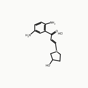 Cl.Nc1ccc(N)c(C(=O)C=CN2CCC(O)C2)c1